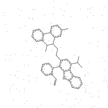 C=C[n+]1ccccc1-c1c(CCC2c3cc(C)ccc3-c3cccc[n+]3C2C)cc(C(C)C)c2c1oc1ccccc12